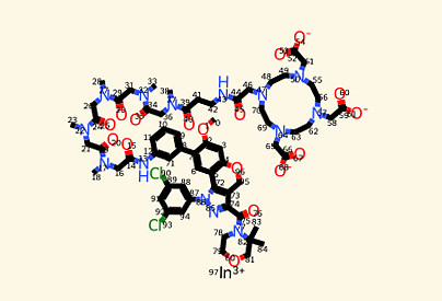 COc1cc2c(cc1-c1cccc(NC(=O)CN(C)C(=O)CN(C)C(=O)CN(C)C(=O)CN(C)C(=O)CN(C)C(=O)CCNC(=O)CN3CCN(CC(=O)[O-])CCN(CC(=O)[O-])CCN(CC(=O)[O-])CC3)c1)-c1c(c(C(=O)N3CCOCC3(C)C)nn1-c1cc(Cl)cc(Cl)c1)CO2.[In+3]